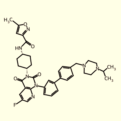 Cc1cc(C(=O)N[C@H]2CC[C@@H](n3c(=O)c4cc(F)cnc4n(-c4cccc(-c5ccc(CN6CCN(C(C)C)CC6)cc5)c4)c3=O)CC2)no1